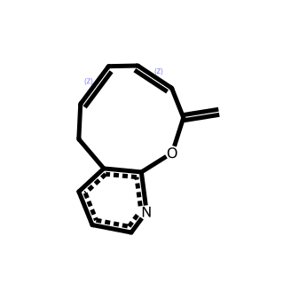 C=C1/C=C\C=C/Cc2cccnc2O1